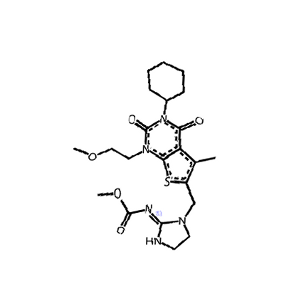 COCCn1c(=O)n(C2CCCCC2)c(=O)c2c(C)c(CN3CCN/C3=N\C(=O)OC)sc21